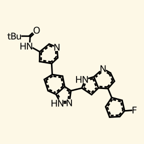 CC(C)(C)C(=O)Nc1cncc(-c2ccc3[nH]nc(-c4cc5c(-c6cccc(F)c6)ccnc5[nH]4)c3c2)c1